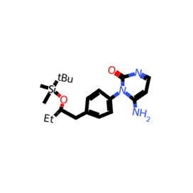 CCC(Cc1ccc(-n2c(N)ccnc2=O)cc1)O[Si](C)(C)C(C)(C)C